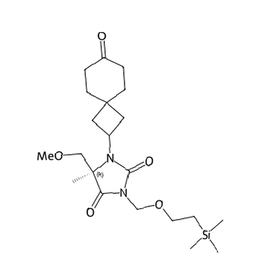 COC[C@]1(C)C(=O)N(COCC[Si](C)(C)C)C(=O)N1C1CC2(CCC(=O)CC2)C1